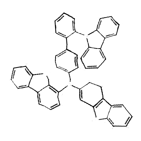 C1=C(N(c2ccc(-c3ccccc3-n3c4ccccc4c4ccccc43)cc2)c2cccc3c2oc2ccccc23)CCc2c1oc1ccccc21